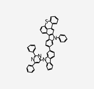 c1ccc(-c2cc(-n3c4ccccc4c4ccc(-c5ccc6c7c8cccc9c8c(cc7n(-c7ccccc7)c6c5)-c5ccccc5S9)cc43)nc(-c3ccccc3)n2)cc1